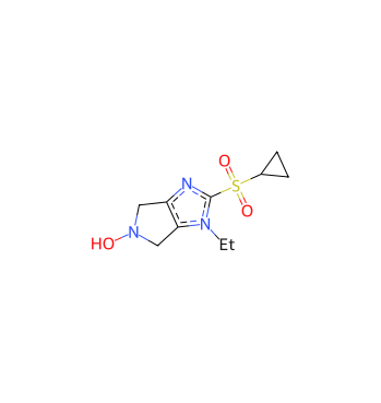 CCn1c(S(=O)(=O)C2CC2)nc2c1CN(O)C2